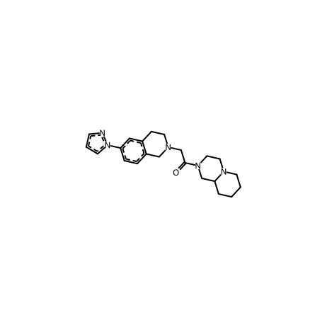 O=C(CN1CCc2cc(-n3cccn3)ccc2C1)N1CCN2CCCCC2C1